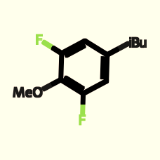 CCC(C)c1cc(F)c(OC)c(F)c1